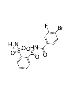 NS(=O)(=O)c1ccccc1S(=O)(=O)NC(=O)c1ccc(Br)c(F)c1